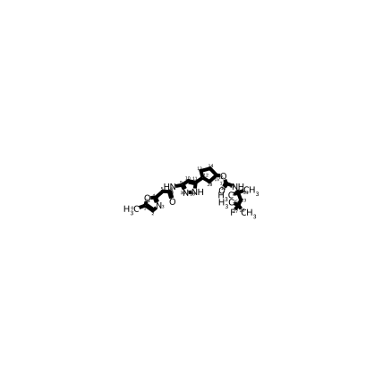 Cc1cnc(CC(=O)Nc2cc(C3CCC(OC(=O)NC(C)(C)CC(C)(C)F)C3)[nH]n2)o1